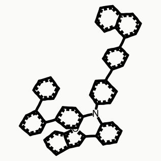 c1ccc(-c2ccccc2-c2ccc(N(c3ccc(-c4ccc(-c5cccc6ccccc56)cc4)cc3)c3ccccc3-c3cc4ccccc4o3)cc2)cc1